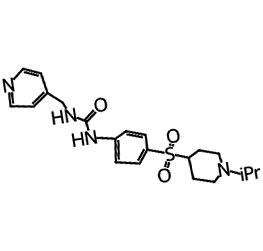 CC(C)N1CCC(S(=O)(=O)c2ccc(NC(=O)NCc3ccncc3)cc2)CC1